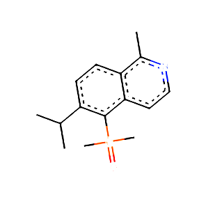 Cc1nccc2c(P(C)(C)=O)c(C(C)C)ccc12